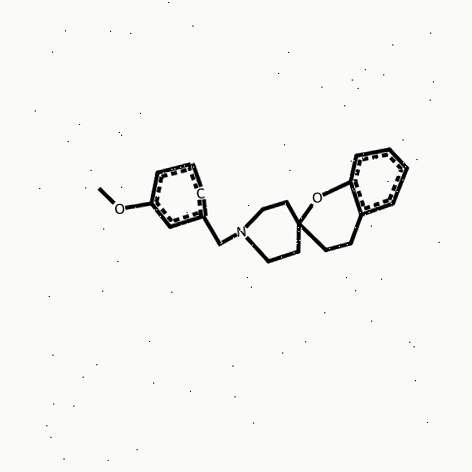 COc1cccc(CN2CCC3(CCc4ccccc4O3)CC2)c1